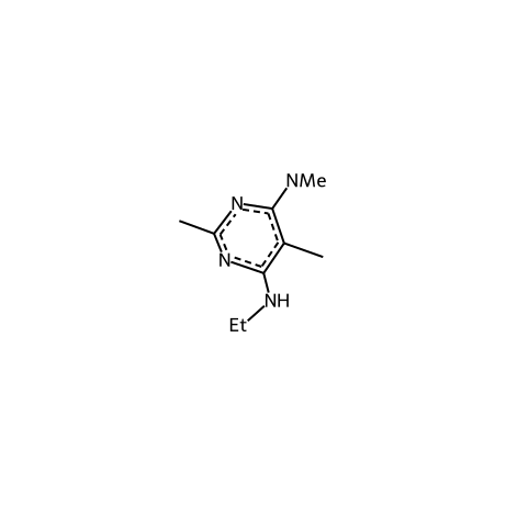 CCNc1nc(C)nc(NC)c1C